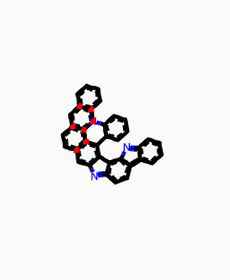 c1ccc(-c2ccc3c(c2-c2ccccc2N(c2ccccc2)c2ccccc2)-c2c4c(ccc2=N3)=c2ccccc2=N4)cc1